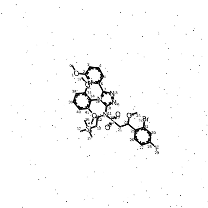 COc1cccc(-c2nnc(N(CC[Si](C)(C)C)S(=O)(=O)CC(OC)c3ccc(F)cc3Br)n2-c2c(OC)cccc2OC)n1